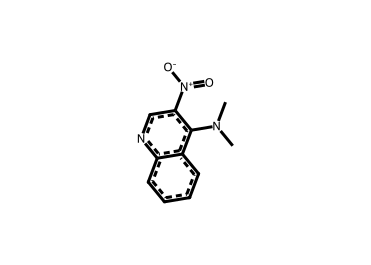 CN(C)c1c([N+](=O)[O-])cnc2ccccc12